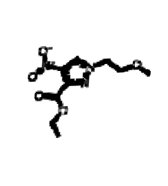 CCOC(=O)c1nn(CCOC)cc1[N+](=O)[O-]